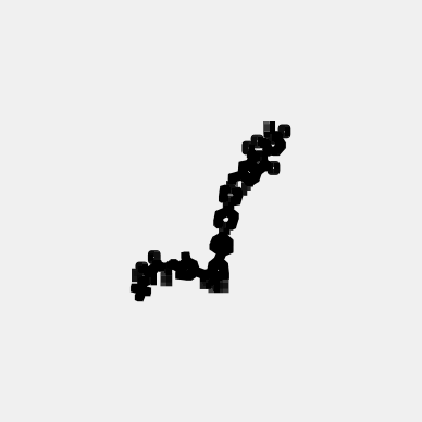 Cc1cc(-c2n[nH]c3ccc(-c4ccc(N5CCC(N6CCN(Cc7cc8c(cc7F)C(=O)N(C7CCC(=O)NC7=O)C8=O)CC6)CC5)cc4)cc23)ccc1CNC(=O)c1nc(C(C)(C)C)no1